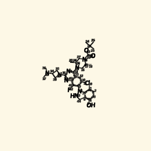 Cc1ccc(O)c2c1N(c1c(Cl)cc3c(N4C[C@@H](C)N(C(=O)OC(C)(C)C)C[C@@H]4C)nc(N4CC(N(C)C)C4)nc3c1F)NC2